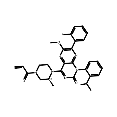 C=CC(=O)N1CCN(c2nc(=O)n(-c3ccccc3C(C)C)c3nc(-c4ccccc4F)c(OC)nc23)[C@@H](C)C1